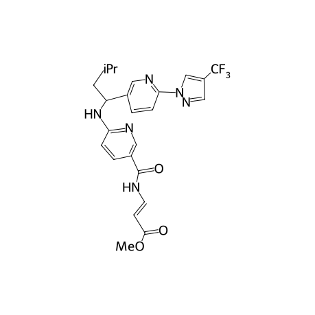 COC(=O)C=CNC(=O)c1ccc(NC(CC(C)C)c2ccc(-n3cc(C(F)(F)F)cn3)nc2)nc1